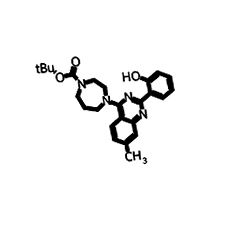 Cc1ccc2c(N3CCCN(C(=O)OC(C)(C)C)CC3)nc(-c3ccccc3O)nc2c1